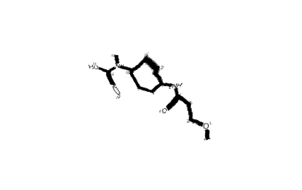 COCCC(=O)NC1CCC(N(C)C(=O)O)CC1